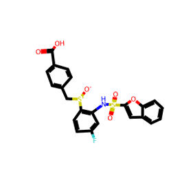 O=C(O)c1ccc(C[S+]([O-])c2ccc(F)cc2NS(=O)(=O)c2cc3ccccc3o2)cc1